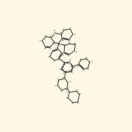 C1=CC(C2(C3=CCCC(c4cc(C5CCCC(C6CCCCC6)C5)cc(C5=CCCCC5)n4)=C3)C3=CCCCC3OC3CCC=CC32)CCC1